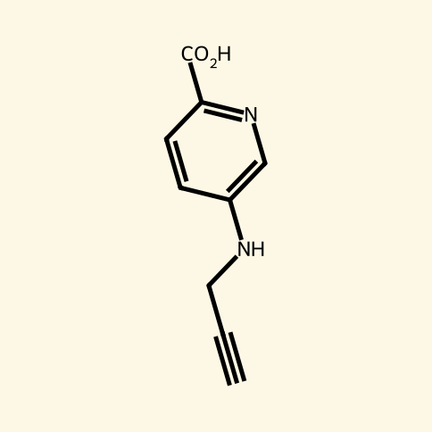 C#CCNc1ccc(C(=O)O)nc1